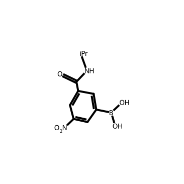 CC(C)NC(=O)c1cc(B(O)O)cc([N+](=O)[O-])c1